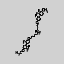 CCOc1ccc(-c2ccc(OCCCCCC(F)(F)CCCCCOc3ccc(-c4ccc(C)c(F)c4F)c(F)c3)cc2F)c(F)c1F